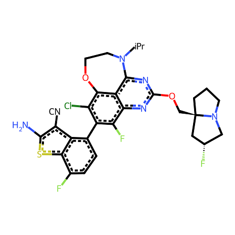 CC(C)N1CCOc2c(Cl)c(-c3ccc(F)c4sc(N)c(C#N)c34)c(F)c3nc(OC[C@@]45CCCN4C[C@H](F)C5)nc1c23